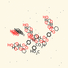 O=C(O)c1ccc(C(=O)O)cc1.O=C(OC(C[C@@]1(O)CO[C@@H]2[C@H](O)CO[C@@H]21)C1CCCCC1)c1ccc(C(=O)OC(C[C@@]2(O)CO[C@@H]3[C@H](O)CO[C@@H]32)C2CCCCC2)cc1.O=C(OC(C[C@@]1(O)CO[C@@H]2[C@H](O)CO[C@@H]21)C1CCCCC1)c1ccc(C(=O)OC(C[C@@]2(O)CO[C@@H]3[C@H](O)CO[C@@H]32)C2CCCCC2)cc1.O=[N+]([O-])O.O=[N+]([O-])O.O=[N+]([O-])O.O=[N+]([O-])O